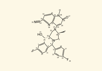 C[C@H]1CN(C(c2ccc(F)cc2)c2ccc(F)cc2)[C@H](CO)CN1c1cc(=O)n(C)c2ccc(C#N)nc12